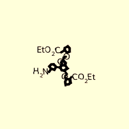 CCOC(=O)Cc1ccccc1OCc1cc(-c2cccc(CN)c2)c2oc(COc3ccccc3CC(=O)OCC)cc2c1